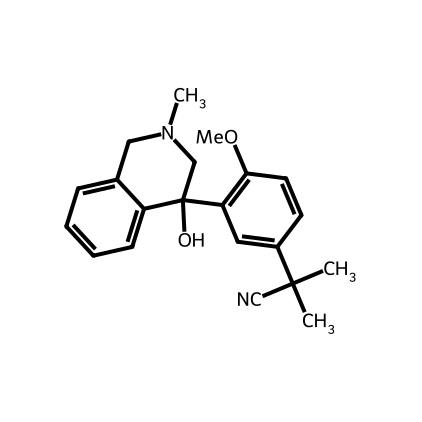 COc1ccc(C(C)(C)C#N)cc1C1(O)CN(C)Cc2ccccc21